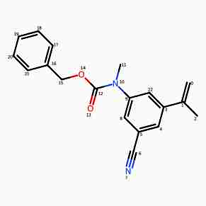 C=C(C)c1cc(C#N)cc(N(C)C(=O)OCc2ccccc2)c1